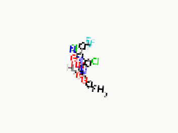 Cc1ccc(OCC(=O)N(C)Cc2cc(Cl)cc(-c3cc(-c4cc(C(F)(F)F)ccc4Cl)c(C#N)c(=O)[nH]3)c2O)cc1